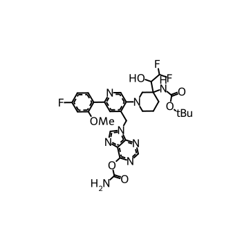 COc1cc(F)ccc1-c1cc(Cn2cnc3c(OC(N)=O)ncnc32)c(N2CCCC(NC(=O)OC(C)(C)C)(C(O)C(F)F)C2)cn1